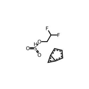 O=[SH](=O)OCC(F)F.c1cc2cc-2c1